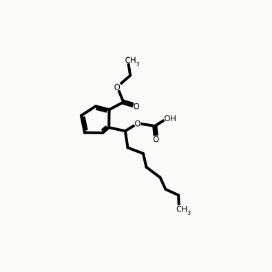 CCCCCCCC(OC(=O)O)c1ccccc1C(=O)OCC